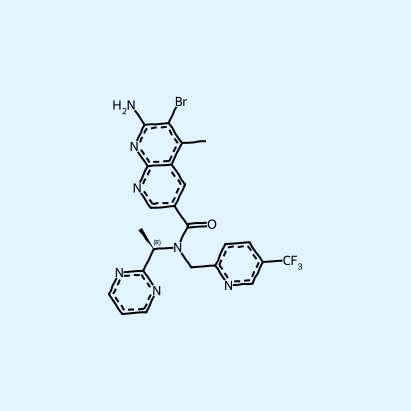 Cc1c(Br)c(N)nc2ncc(C(=O)N(Cc3ccc(C(F)(F)F)cn3)[C@H](C)c3ncccn3)cc12